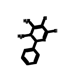 NC1=C(Cl)C(Cl)=NC(c2ccccc2)N1N